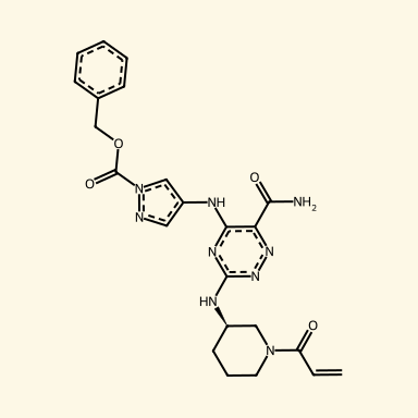 C=CC(=O)N1CCC[C@@H](Nc2nnc(C(N)=O)c(Nc3cnn(C(=O)OCc4ccccc4)c3)n2)C1